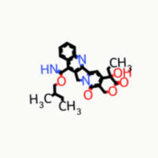 CCC(C)COC(=N)c1c2c(nc3ccccc13)-c1cc3c(c(=O)n1C2)COC(=O)C3(O)CC